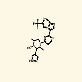 CC1C(c2cn[nH]c2)N(O)C(C)CN1c1ccnc(-c2cnc3cnc(C(F)(F)F)cn23)n1